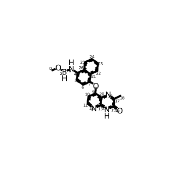 COBNc1ccc(Oc2ccnc3[nH]c(=O)c(C)nc23)c2ccccc12